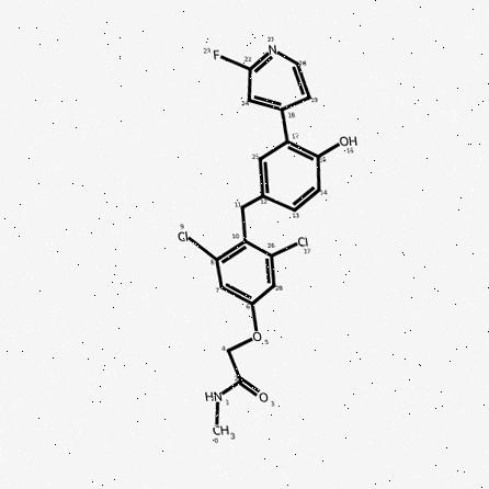 CNC(=O)COc1cc(Cl)c(Cc2ccc(O)c(-c3ccnc(F)c3)c2)c(Cl)c1